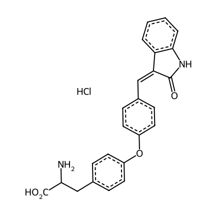 Cl.NC(Cc1ccc(Oc2ccc(C=C3C(=O)Nc4ccccc43)cc2)cc1)C(=O)O